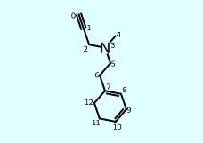 C#CCN(C)CCC1=CC=CCC1